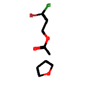 C1CCOC1.CC(=O)OCCC(Cl)Br